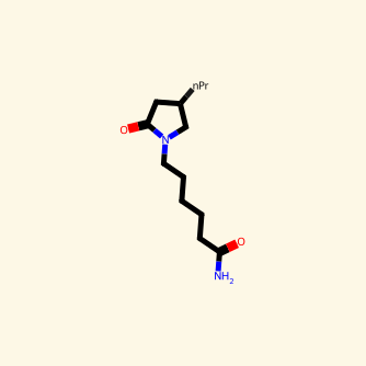 CCCC1CC(=O)N(CCCCCC(N)=O)C1